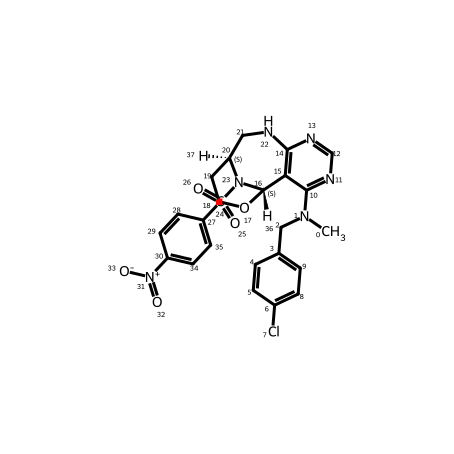 CN(Cc1ccc(Cl)cc1)c1ncnc2c1[C@@H]1OCC[C@@H](CN2)N1S(=O)(=O)c1ccc([N+](=O)[O-])cc1